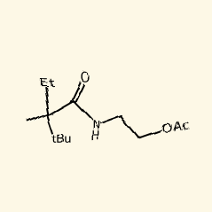 CCC(C)(C(=O)NCCOC(C)=O)C(C)(C)C